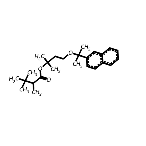 CC(C(=O)OC(C)(C)CCOC(C)(C)c1ccc2ccccc2c1)C(C)(C)C